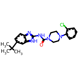 CC(C)(C)c1ccc2nc(NC(=O)N3CCN(c4ccccc4Cl)CC3)[nH]c2c1